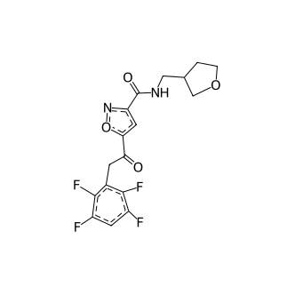 O=C(NCC1CCOC1)c1cc(C(=O)Cc2c(F)c(F)cc(F)c2F)on1